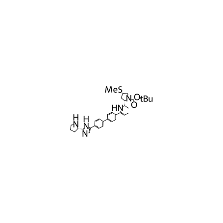 C/C=C(\NC(C)[C@@H]1C[C@H](SC)CN1C(=O)OC(C)(C)C)c1ccc(-c2ccc(-c3cnc([C@@H]4CCCN4)[nH]3)cc2)cc1